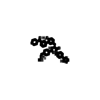 Cc1ccc(C[C@H](NC(=O)C2CCC(CN)CC2)C(=O)Nc2ccc(-c3nnn[nH]3)cc2)cc1-c1cccc(C(=O)N2CCOCC2)c1.Cl